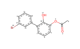 CC(=O)Oc1cccc(-c2cccc(Br)c2)c1O